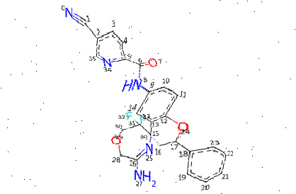 N#Cc1ccc(C(=O)Nc2ccc3c(c2)[C@@]2(CC(c4ccccc4)O3)N=C(N)COCC2(F)F)nc1